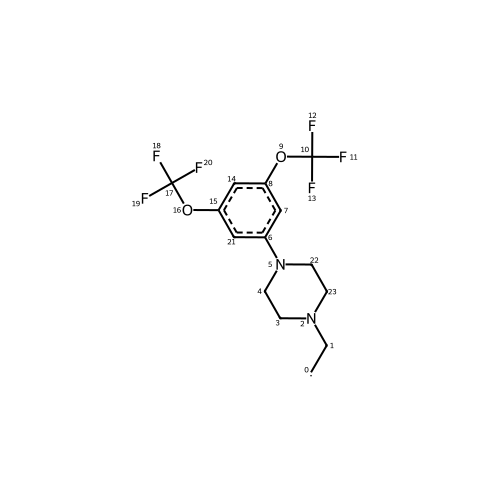 [CH2]CN1CCN(c2cc(OC(F)(F)F)cc(OC(F)(F)F)c2)CC1